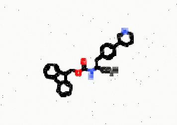 O=C(NC(Cc1ccc(-c2cccnc2)cc1)C(=O)O)OCC1c2ccccc2-c2ccccc21